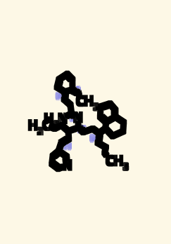 C=CCC(/C=C/c1cccnc1)C(=C/C/C(=C/CCC)C1CCCc2ccccc21)/N=C(\N)C/C=c1/cccc/c1=C/C